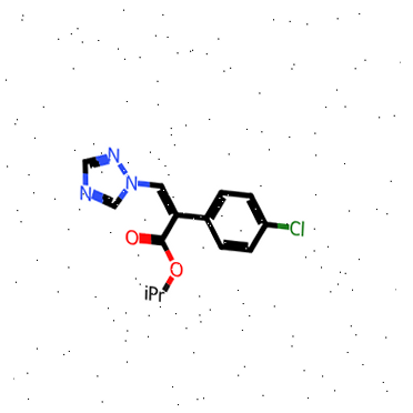 CC(C)OC(=O)C(=Cn1cncn1)c1ccc(Cl)cc1